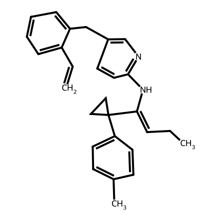 C=Cc1ccccc1Cc1ccc(NC(=CCC)C2(c3ccc(C)cc3)CC2)nc1